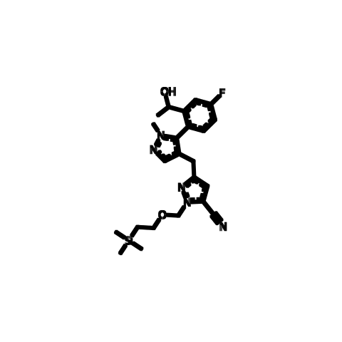 CC(O)c1cc(F)ccc1-c1c(Cc2cc(C#N)n(COCC[Si](C)(C)C)n2)cnn1C